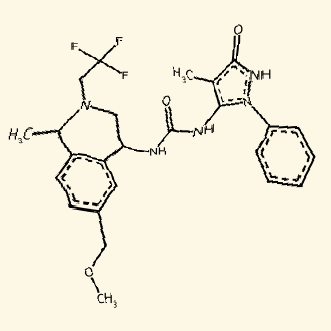 COCc1ccc2c(c1)C(NC(=O)Nc1c(C)c(=O)[nH]n1-c1ccccc1)CN(CC(F)(F)F)C2C